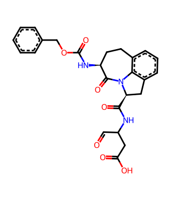 O=CC(CC(=O)O)NC(=O)[C@@H]1Cc2cccc3c2N1C(=O)[C@@H](NC(=O)OCc1ccccc1)CC3